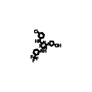 OC1CCN(c2nc(Nc3cccc(Cl)c3)nc(Nc3cccc(C(F)(F)F)c3)n2)C1